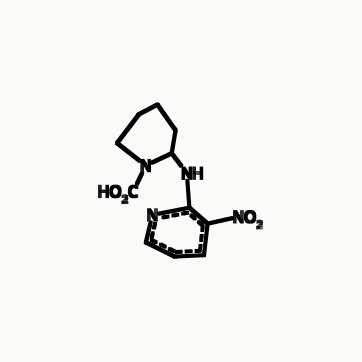 O=C(O)N1CCCCC1Nc1ncccc1[N+](=O)[O-]